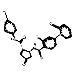 O=C1C[C@H](NC(=O)c2ccc(-n3ccccc3=O)cc2F)[C@@H](C(=O)Nc2ccc(Cl)cc2)C1